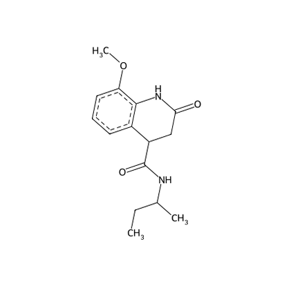 CCC(C)NC(=O)C1CC(=O)Nc2c(OC)cccc21